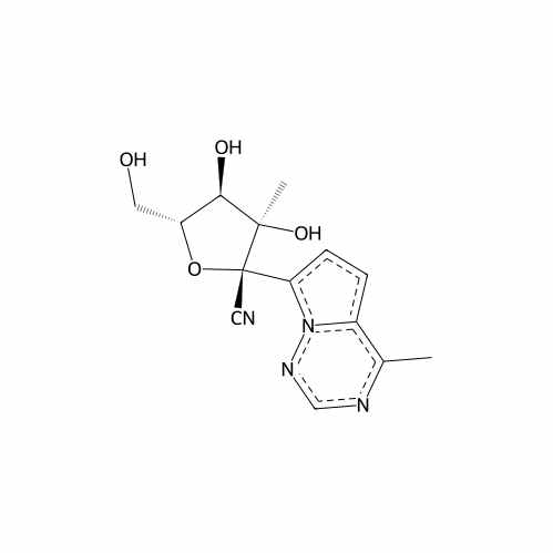 Cc1ncnn2c([C@]3(C#N)O[C@H](CO)[C@@H](O)[C@@]3(C)O)ccc12